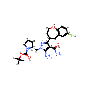 CC(C)(C)OC(=O)N1CCC[C@H]1Cn1nc(C2CCOc3ccc(F)cc3C2)c(C(N)=O)c1N